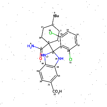 CC(C)(C)C1CCC(C(N)=O)(C2(c3c(Cl)cccc3Cl)Nc3ccc(C(=O)O)cc3N2)CC1